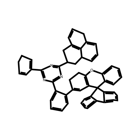 C1=CC2CC(c3nc(C4=CCCC=C4)nc(-c4ccccc4C4=CC5=C(CC4)Oc4ccccc4C54c5ccccc5-c5ccccc54)n3)CC3=C2C(=C1)CC=C3